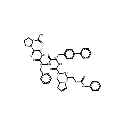 C[C@H](NC(=O)[C@@H](Cc1ccccc1)NC(=O)[C@H](Cc1ccc(-c2ccccc2)cc1)NC(=O)[C@@H](CC1CC=CS1)NC(=O)CCC(=O)Nc1ccccc1)C(=O)N1CCC[C@H]1C(=O)O